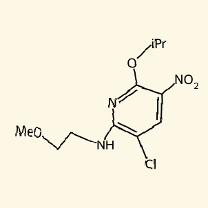 COCCNc1nc(OC(C)C)c([N+](=O)[O-])cc1Cl